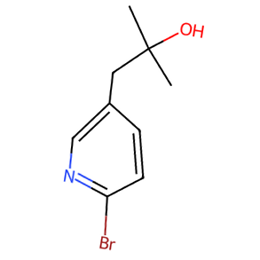 CC(C)(O)Cc1ccc(Br)nc1